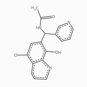 CC(=O)NC(c1cccnc1)c1cc(Cl)c2cccnc2c1O